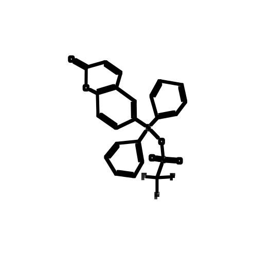 O=c1ccc2cc(S(OS(=O)(=O)C(F)(F)F)(c3ccccc3)c3ccccc3)ccc2o1